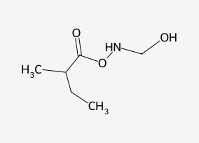 CCC(C)C(=O)ONCO